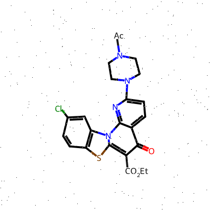 CCOC(=O)c1c(=O)c2ccc(N3CCN(C(C)=O)CC3)nc2n2c1sc1ccc(Cl)cc12